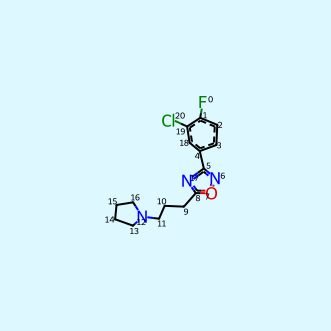 Fc1ccc(-c2noc(CCCN3CCCC3)n2)cc1Cl